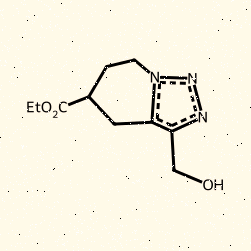 CCOC(=O)C1CCn2nnc(CO)c2C1